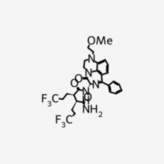 COCCN1CCN2C(=O)[C@@H](NC(=O)[C@H](CCC(F)(F)F)[C@H](CCC(F)(F)F)C(N)=O)N=C(c3ccccc3)c3cccc1c32